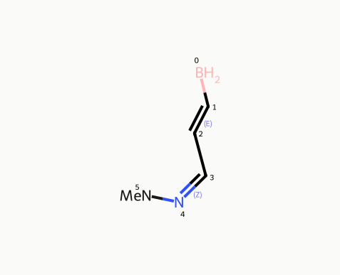 B/C=C/C=N\NC